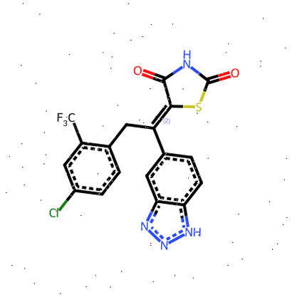 O=C1NC(=O)/C(=C(\Cc2ccc(Cl)cc2C(F)(F)F)c2ccc3[nH]nnc3c2)S1